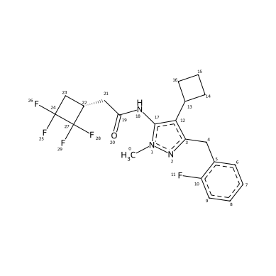 Cn1nc(Cc2ccccc2F)c(C2CCC2)c1NC(=O)C[C@H]1CC(F)(F)C1(F)F